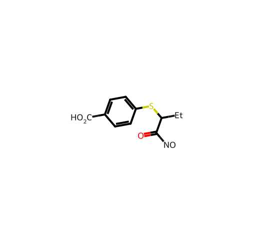 CCC(Sc1ccc(C(=O)O)cc1)C(=O)N=O